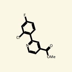 COC(=O)c1ccnc(-c2ccc(F)cc2Cl)c1